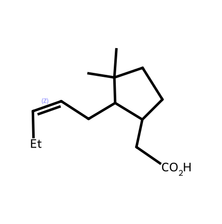 CC/C=C\CC1C(CC(=O)O)CCC1(C)C